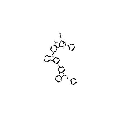 N#Cc1nc(-c2ccccc2)nc2c1sc1ccc(-n3c4ccccc4c4cc(-c5ccc6c(c5)-c5ccccc5C6CCc5ccccc5)ccc43)cc12